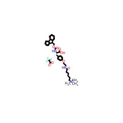 C[N+](C)(C)CCCCCC(=O)NCCOc1ccc(C[C@H](NC(=O)OCC2c3ccccc3-c3ccccc32)C(=O)O)cc1.O=C([O-])C(F)(F)F